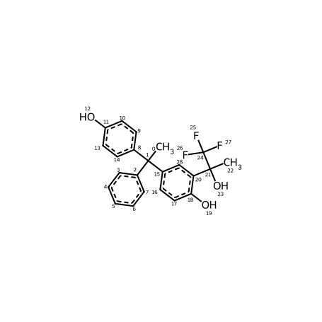 CC(c1ccccc1)(c1ccc(O)cc1)c1ccc(O)c(C(C)(O)C(F)(F)F)c1